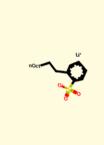 CCCCCCCCCCc1ccccc1S(=O)(=O)[O-].[Li+]